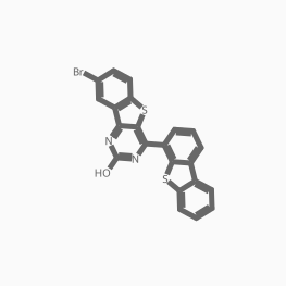 Oc1nc(-c2cccc3c2sc2ccccc23)c2sc3ccc(Br)cc3c2n1